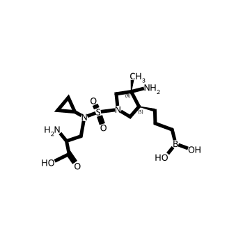 C[C@]1(N)CN(S(=O)(=O)N(CC(N)C(=O)O)C2CC2)C[C@@H]1CCCB(O)O